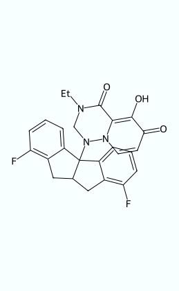 CCN1CN(C23c4cccc(F)c4CC2Cc2c(F)cccc23)n2ccc(=O)c(O)c2C1=O